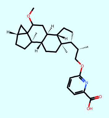 COC1C[C@H]2[C@@H]3CC[C@H]([C@H](C)COc4cccc(C(=O)O)n4)[C@@]3(C)CC[C@@H]2[C@@]2(C)CC[C@@H]3CC132